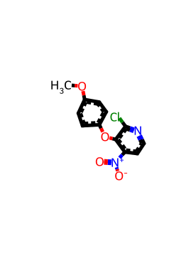 COc1ccc(Oc2c([N+](=O)[O-])ccnc2Cl)cc1